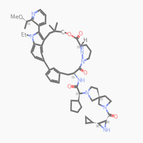 CCn1c(-c2cccnc2[C@H](C)OC)c2c3cc(ccc31)-c1cccc(c1)C[C@H](NC(=O)[C@H](C1CCCC1)N1CC[C@]3(CCN(C(=O)[C@@H]4N[C@@H]4C4CC4)C3)C1)C(=O)N1CCC[C@H](N1)C(=O)OCC(C)(C)C2